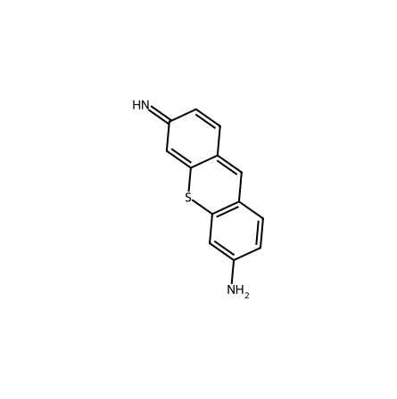 N=c1ccc2cc3ccc(N)cc3sc-2c1